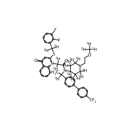 [2H]C([2H])([2H])OCCN1C([2H])([2H])C([2H])([2H])C([2H])(N(C(=O)C([2H])([2H])n2c(SC([2H])([2H])c3cccc(F)c3F)cc(=O)c3ccccc32)C([2H])(C)c2ccc(-c3ccc(C(F)(F)F)cc3)cc2)C([2H])([2H])C1([2H])[2H]